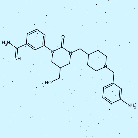 N=C(N)c1cccc(N2CC(CO)CN(CC3CCN(Cc4cccc(N)c4)CC3)C2=O)c1